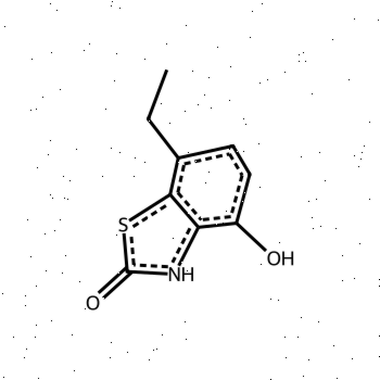 CCc1ccc(O)c2[nH]c(=O)sc12